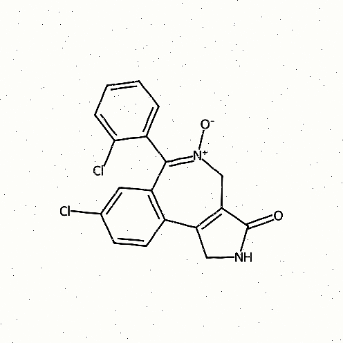 O=C1NCC2=C1C[N+]([O-])=C(c1ccccc1Cl)c1cc(Cl)ccc12